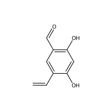 C=Cc1cc(C=O)c(O)cc1O